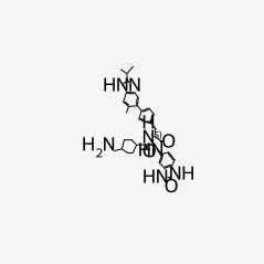 Cc1cc2[nH]c(C(C)C)nc2cc1-c1ccc(C[C@H](NC(=O)C2CCC(CN)CC2)C(=O)Nc2ccc3[nH]c(=O)[nH]c3c2)cc1